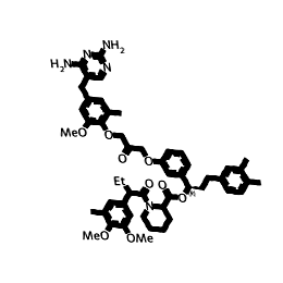 CCC(C(=O)N1CCCCC1C(=O)O[C@H](CCc1ccc(C)c(C)c1)c1cccc(OCC(=O)COc2c(C)cc(Cc3cnc(N)nc3N)cc2OC)c1)c1cc(C)c(OC)c(OC)c1